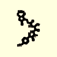 CCCc1ccc(NC(=O)[C@H](C)NC(=O)C(NC(=O)CCN2C(=O)CC(SSC)C2=O)C(C)C)cc1